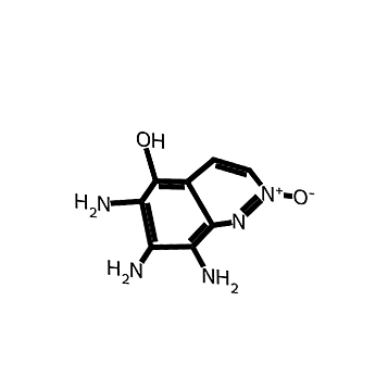 Nc1c(N)c(N)c2n[n+]([O-])ccc2c1O